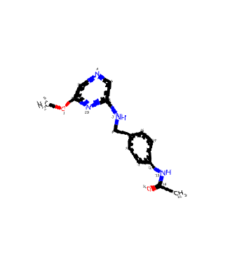 COc1cncc(NCc2ccc(NC(C)=O)cc2)n1